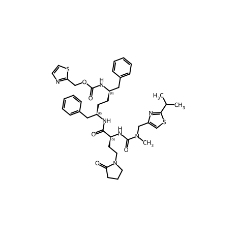 CC(C)c1nc(CN(C)C(=O)N[C@@H](CCN2CCCC2=O)C(=O)N[C@H](CC[C@H](Cc2ccccc2)NC(=O)OCc2nccs2)Cc2ccccc2)cs1